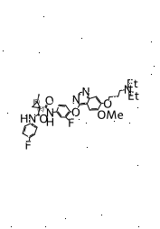 CCN(CC)CCCOc1cc2ncnc(Oc3ccc(NC(=O)[C@]4(C(=O)Nc5ccc(F)cc5)C[C@H]4C)cc3F)c2cc1OC